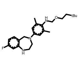 Cc1cc(N2CCNc3cc(F)ccc3C2)cc(C)c1NCOCCC(C)(C)C